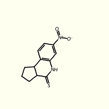 O=[N+]([O-])c1ccc2c(c1)NC(=S)C1CCCC21